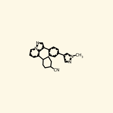 Cn1cc(-c2ccc(-c3cnn4cccc(C5CCC(C#N)CC5)c34)cc2)cn1